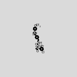 CC(C)c1ccc(Cl)cc1N1C(=O)CSC1=NC(=O)NCCc1ccc(-c2ncn(-c3ccc(OC(F)(F)F)cc3)n2)cc1